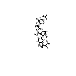 COc1nc(N[C@@H]2CCN(S(C)(=O)=O)CC2(F)F)nn2cc(F)c(-c3ccc4nnn([C@H](C)C(F)F)c4c3)c12